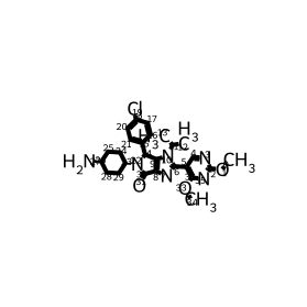 COc1ncc(-c2nc3c(n2C(C)C)C(c2ccc(Cl)cc2)N([C@H]2CC[C@H](N)CC2)C3=O)c(OC)n1